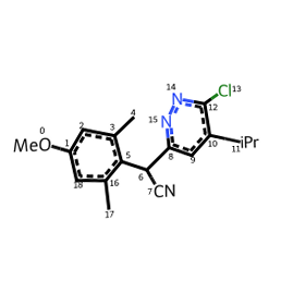 COc1cc(C)c(C(C#N)c2cc(C(C)C)c(Cl)nn2)c(C)c1